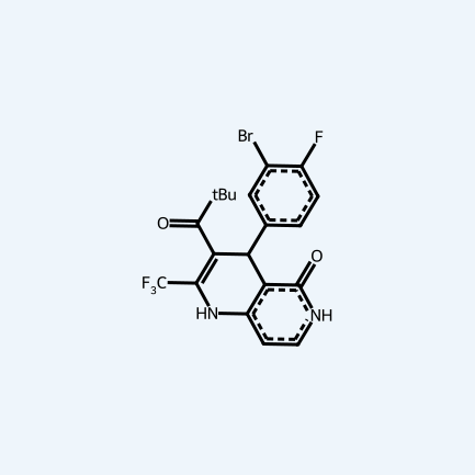 CC(C)(C)C(=O)C1=C(C(F)(F)F)Nc2cc[nH]c(=O)c2C1c1ccc(F)c(Br)c1